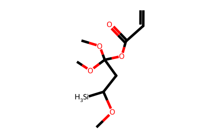 C=CC(=O)OC(CC([SiH3])OC)(OC)OC